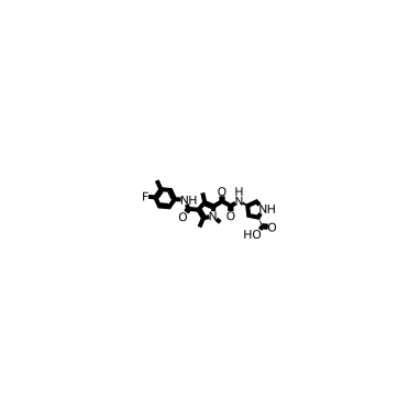 Cc1cc(NC(=O)c2c(C)c(C(=O)C(=O)N[C@H]3CN[C@H](C(=O)O)C3)n(C)c2C)ccc1F